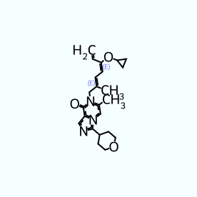 C=C/C(=C\C=C(/C)Cn1c(C)cn2c(C3CCOCC3)ncc2c1=O)OC1CC1